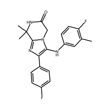 Cc1cc(Nc2c(-c3ccc(F)cc3)nc3n2CC(=O)NC3(C)C)ccc1F